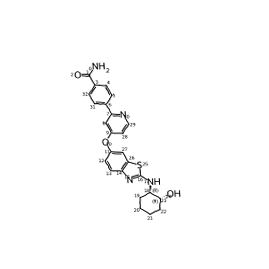 NC(=O)c1ccc(-c2cc(Oc3ccc4nc(N[C@@H]5CCCC[C@H]5O)sc4c3)ccn2)cc1